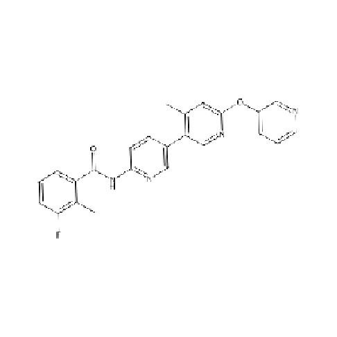 Cc1cc(Oc2cccnc2)ncc1-c1ccc(NC(=O)c2cccc(F)c2C)nc1